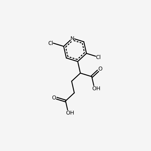 O=C(O)CCC(C(=O)O)c1cc(Cl)ncc1Cl